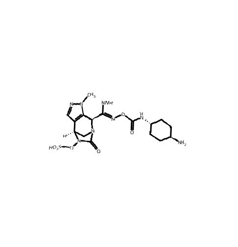 CN/C(=N\OC(=O)N[C@H]1CC[C@H](N)CC1)[C@@H]1c2c(cnn2C)[C@H]2CN1C(=O)N2OS(=O)(=O)O